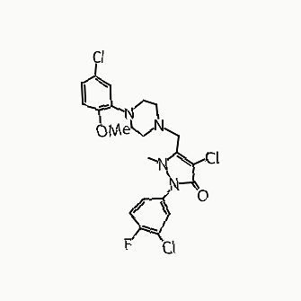 COc1ccc(Cl)cc1N1CCN(Cc2c(Cl)c(=O)n(-c3ccc(F)c(Cl)c3)n2C)CC1